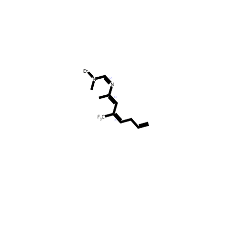 C=CC\C=C(/C=C(C)/N=C\N(C)CC)C(F)(F)F